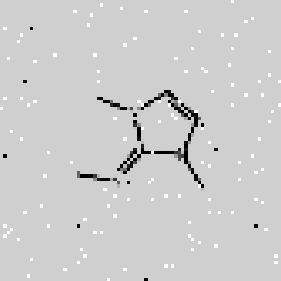 CN=c1n(C)ccn1C